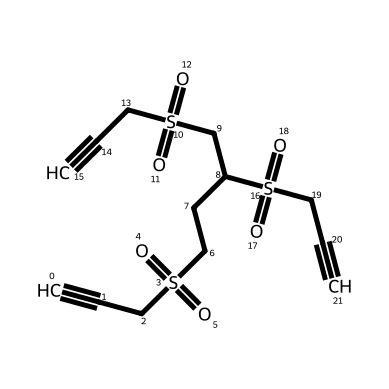 C#CCS(=O)(=O)CCC(CS(=O)(=O)CC#C)S(=O)(=O)CC#C